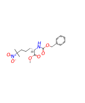 COC(=O)[C@H](CCCC(C)(C)[N+](=O)[O-])NC(=O)OCc1ccccc1